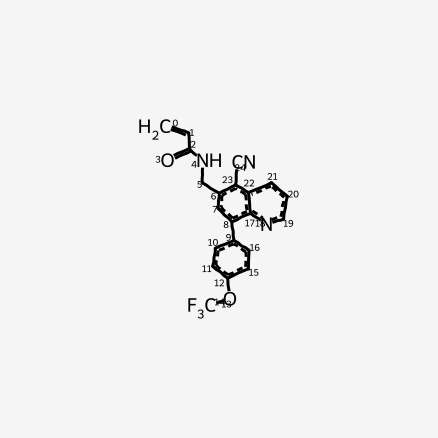 C=CC(=O)NCc1cc(-c2ccc(OC(F)(F)F)cc2)c2ncccc2c1C#N